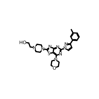 Cc1cccc(-c2ccn(-c3nc(N4CCOCC4)c4sc(N5CCN(CCO)CC5)nc4n3)n2)c1